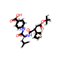 CC(C)C[C@H](NC(=O)C(CC(=O)OC(C)(C)C)c1ccsc1)C(=O)Nc1ccc(C(=O)O)cc1